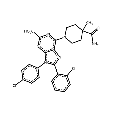 CC1(C(N)=O)CCN(c2nc(C(=O)O)nc3c2nc(-c2ccccc2Cl)n3-c2ccc(Cl)cc2)CC1